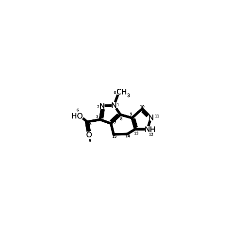 Cn1nc(C(=O)O)c2c1-c1cn[nH]c1CC2